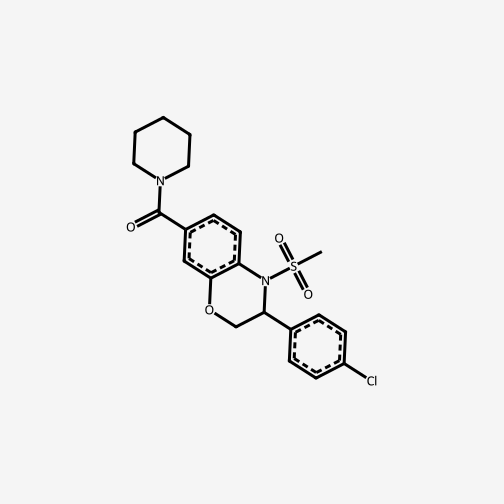 CS(=O)(=O)N1c2ccc(C(=O)N3CCCCC3)cc2OCC1c1ccc(Cl)cc1